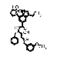 CCc1c[nH]c2c(N3CCCS3(O)O)cc(C(=O)N[C@@H](Cc3ccccc3)[C@H](O)CNCc3cccc(OC)c3)cc12